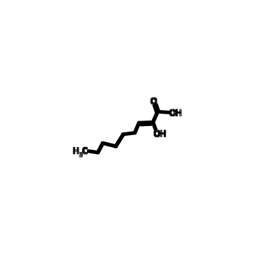 CCCCCC/C=C(\O)C(=O)O